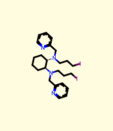 ICCCN(Cc1ccccn1)[C@H]1CCCC[C@@H]1N(CCCI)Cc1ccccn1